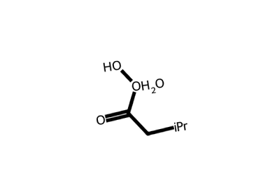 CC(C)CC(=O)OO.O